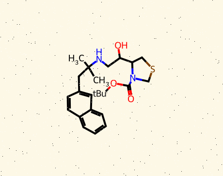 CC(C)(Cc1ccc2ccccc2c1)NCC(O)C1CSCN1C(=O)OC(C)(C)C